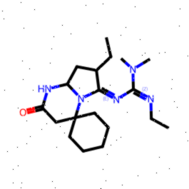 CC/N=C(\N=C1/C(CC)CC2NC(=O)CC3(CCCCC3)N12)N(C)C